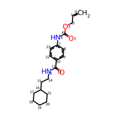 C=CCOC(=O)Nc1ccc(C(=O)NCCC2CCCCC2)cc1